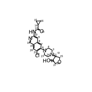 C[C@]1(N2CCN(c3cc4cc(NC(=O)C5CC5)ncc4cc3Cl)CC2)COC[C@H]1O